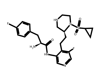 N[C@@H](Cc1ccc(F)cc1)C(=O)Nc1cncc(F)c1CC[C@H]1CNCCN1S(=O)(=O)C1CC1